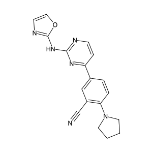 N#Cc1cc(-c2ccnc(Nc3ncco3)n2)ccc1N1CCCC1